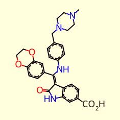 CN1CCN(Cc2ccc(NC(=C3C(=O)Nc4cc(C(=O)O)ccc43)c3ccc4c(c3)OCCO4)cc2)CC1